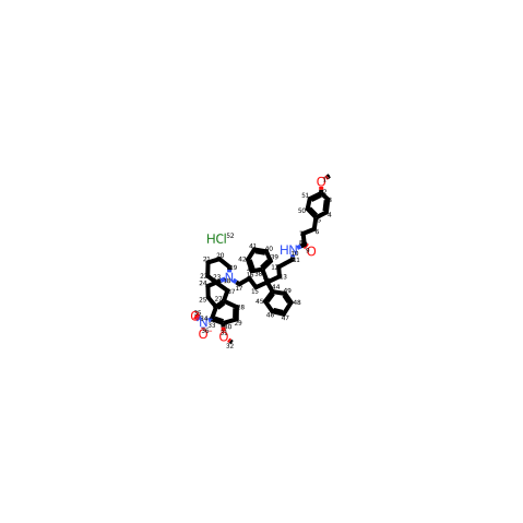 COc1ccc(CCC(=O)NCCCC(CCCN2CCCCC23CCc2c(ccc(OC)c2[N+](=O)[O-])C3)(c2ccccc2)c2ccccc2)cc1.Cl